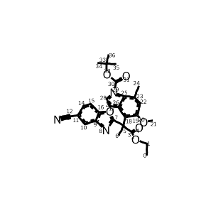 CCOC(=O)C(C)(c1nc2cc(C#N)ccc2o1)c1c(OC)cc(C)c2c1ccn2C(=O)OC(C)(C)C